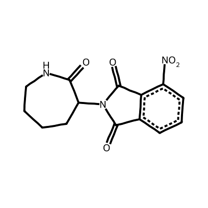 O=C1NCCCCC1N1C(=O)c2cccc([N+](=O)[O-])c2C1=O